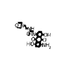 Nc1ccc(O)c2c1C(=O)c1c(O)ccc(NCC(=O)NCCN3CCOCC3)c1C2=O